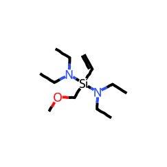 C=C[Si](COC)(N(CC)CC)N(CC)CC